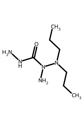 CCCN(CCC)N(N)C(=O)NN